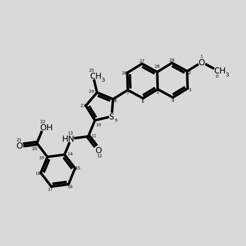 COc1ccc2cc(-c3sc(C(=O)Nc4ccccc4C(=O)O)cc3C)ccc2c1